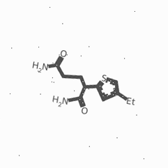 CCc1csc(C(CCC(N)=O)C(N)=O)c1